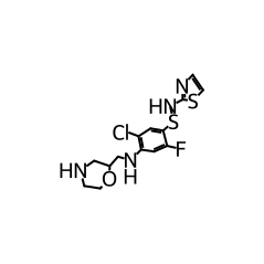 Fc1cc(NCC2CNCCO2)c(Cl)cc1SNc1nccs1